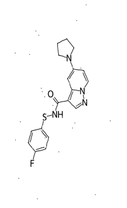 O=C(NSc1ccc(F)cc1)c1cnn2ccc(N3CCCC3)cc12